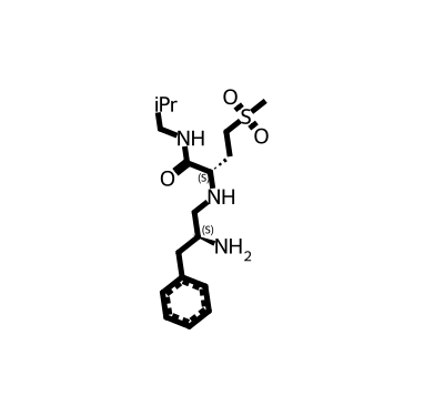 CC(C)CNC(=O)[C@H](CCS(C)(=O)=O)NC[C@@H](N)Cc1ccccc1